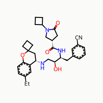 CCc1ccc2c(c1)[C@@H](NC[C@H](O)[C@H](Cc1cccc(C#N)c1)NC(=O)[C@H]1CC(=O)N(C3CCC3)C1)CC1(CCC1)O2